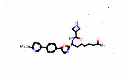 CCC(=O)CCCCCC(NC(=O)C1CNC1)c1ncc(-c2ccc(-c3ccc(OC)nc3)cc2)o1